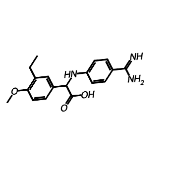 CCc1cc(C(Nc2ccc(C(=N)N)cc2)C(=O)O)ccc1OC